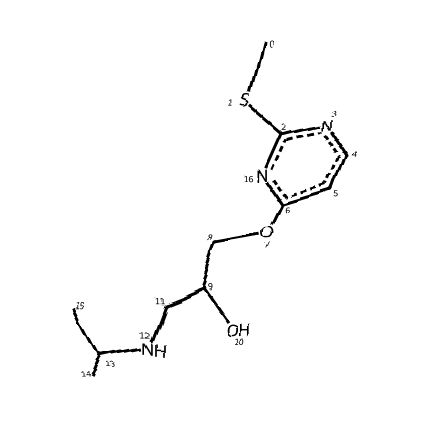 CSc1nccc(OCC(O)CNC(C)C)n1